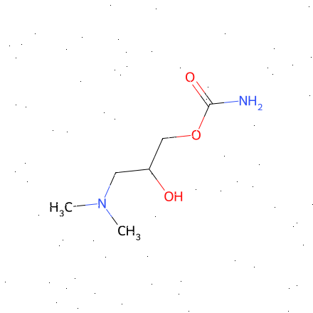 CN(C)CC(O)COC(N)=O